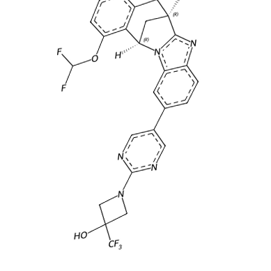 OC1(C(F)(F)F)CN(c2ncc(-c3ccc4nc5n(c4c3)[C@@H]3C[C@H]5Cc4cccc(OC(F)F)c43)cn2)C1